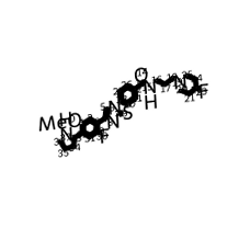 COc1cc(-c2cn3c(n2)sc2cc(C(=O)NCCCN4CCC(F)CC4)ccc23)c(F)cc1C1CCCN1